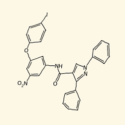 O=C(Nc1cc(Oc2ccc(I)cc2)cc([N+](=O)[O-])c1)c1cn(-c2ccccc2)nc1-c1ccccc1